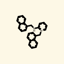 c1cc[n+](Cc2cccc3ccccc23)c(NCc2cccc3ccccc23)c1